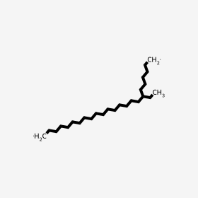 [CH2]CCCCCCCCCCCCCCCCC(CC)CCCCC[CH2]